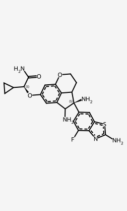 NC(=O)[C@@H](Oc1cc2c3c(c1)C(N)[C@@](N)(c1cc(F)c4nc(N)sc4c1)C3CCO2)C1CC1